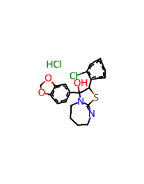 Cl.OC1(c2ccc3c(c2)OCO3)C(c2ccccc2Cl)SC2=NCCCCN21